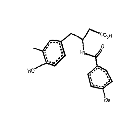 Cc1cc(CC(CC(=O)O)NC(=O)c2ccc(C(C)(C)C)cc2)ccc1O